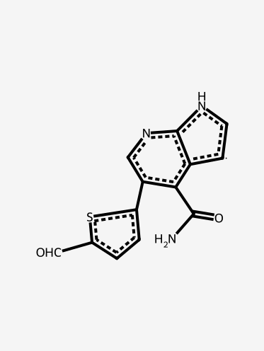 NC(=O)c1c(-c2ccc(C=O)s2)cnc2[nH]c[c]c12